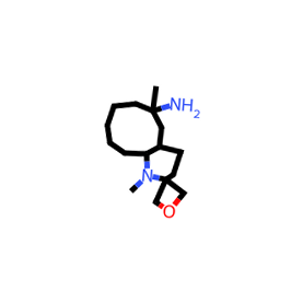 CN1C2CCCCCC(C)(N)CC2CCC12COC2